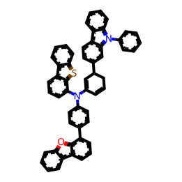 C1=CC(N(c2ccc(-c3cccc4c3oc3ccccc34)cc2)c2cccc3c2sc2ccccc23)=CC(c2ccc3c4ccccc4n(-c4ccccc4)c3c2)C1